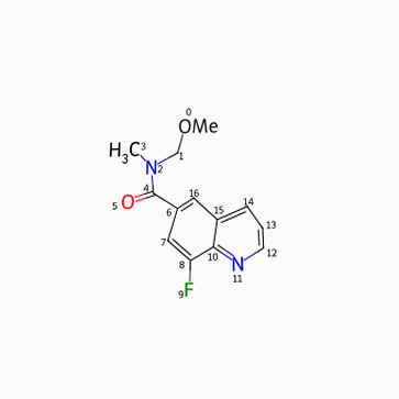 COCN(C)C(=O)c1cc(F)c2ncccc2c1